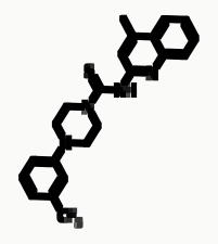 Cc1cc(NC(=S)N2CCN(c3cccc(C(F)(F)F)c3)CC2)nc2ccccc12